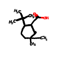 CC1(C)CCC(C(C)(C)C)C(C(=O)O)C1